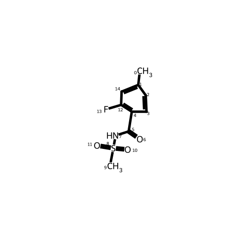 Cc1ccc(C(=O)NS(C)(=O)=O)c(F)c1